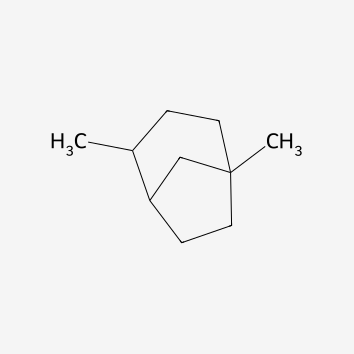 CC1CCC2(C)CCC1C2